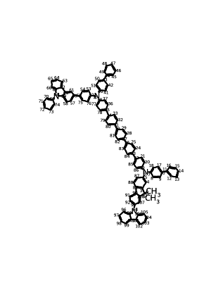 CC1(C)c2cc(N(c3ccc(-c4ccccc4)cc3)c3ccc(-c4ccc(-c5ccc(-c6ccc(-c7ccc(N(c8ccc(-c9ccccc9)cc8)c8ccc(-c9ccc%10c(c9)c9ccccc9n%10-c9ccccc9)cc8)cc7)cc6)cc5)cc4)cc3)ccc2-c2ccc(-n3c4ccccc4c4ccccc43)cc21